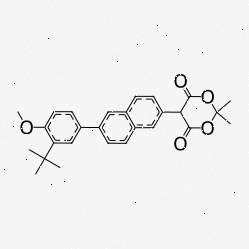 COc1ccc(-c2ccc3cc(C4C(=O)OC(C)(C)OC4=O)ccc3c2)cc1C(C)(C)C